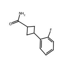 NC(=O)C1CC(c2ccccc2F)C1